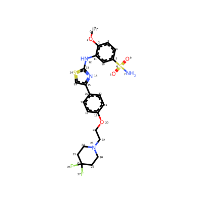 CC(C)Oc1ccc(S(N)(=O)=O)cc1Nc1nc(-c2ccc(OCCN3CCC(F)(F)CC3)cc2)cs1